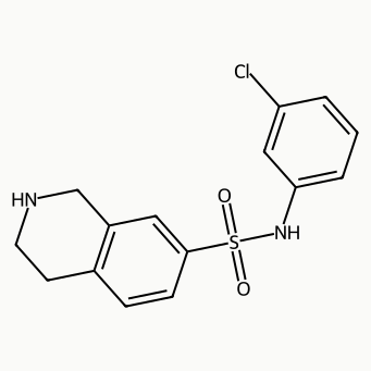 O=S(=O)(Nc1cccc(Cl)c1)c1ccc2c(c1)CNCC2